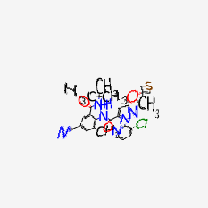 Cc1cc(C#N)cc(C(=O)NC(C)(C)C)c1NC(=O)c1cc(OC2(C)CSC2)nn1-c1ncccc1Cl